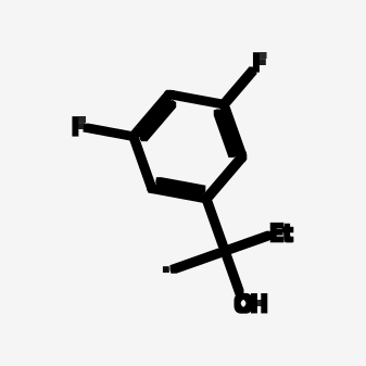 [CH2]C(O)(CC)c1cc(F)cc(F)c1